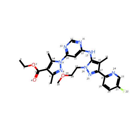 CCOC(=O)c1c(C)nn(-c2cc(Nc3c(C)c(-c4ccc(F)cn4)nn3CCOC)ncn2)c1C